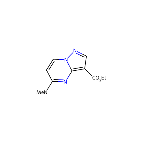 CCOC(=O)c1cnn2ccc(NC)nc12